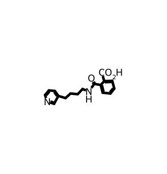 O=C(O)c1ccccc1C(=O)NCCCCc1cccnc1